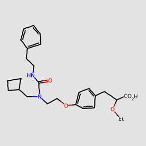 CCOC(Cc1ccc(OCCN(CC2CCC2)C(=O)NCCc2ccccc2)cc1)C(=O)O